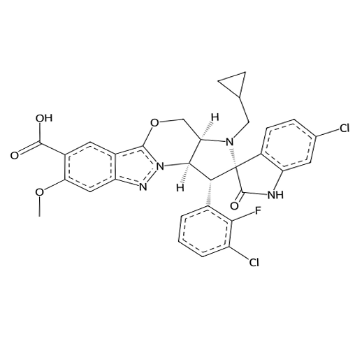 COc1cc2nn3c(c2cc1C(=O)O)OC[C@@H]1[C@H]3[C@@H](c2cccc(Cl)c2F)[C@@]2(C(=O)Nc3cc(Cl)ccc32)N1CC1CC1